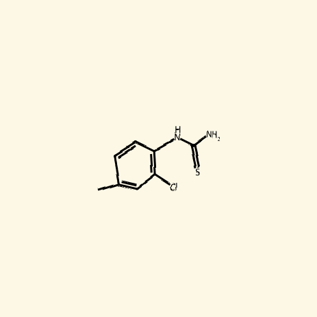 Cc1ccc(NC(N)=S)c(Cl)c1